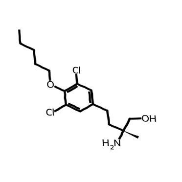 CCCCCOc1c(Cl)cc(CC[C@@](C)(N)CO)cc1Cl